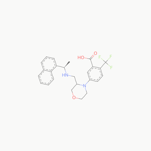 C[C@@H](NCC1COCCN1c1ccc(C(F)(F)F)c(C(=O)O)c1)c1cccc2ccccc12